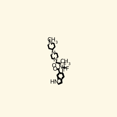 C[C@@H](C(=O)N1CCN(C2CCN(C)CC2)CC1)N(C(=O)c1ccc2cc[nH]c2c1)C(F)(F)F